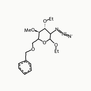 CCOC1OC(COCc2ccccc2)[C@@H](OC)[C@H](OCC)C1N=[N+]=[N-]